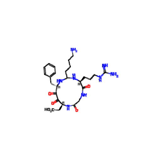 N=C(N)NCCC[C@@H]1NC(CCCCN)N[C@@H](Cc2ccccc2)C(=O)C(=O)[C@H](CC(=O)O)NC(=O)CNC1=O